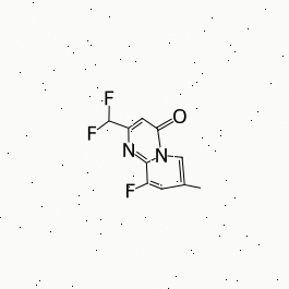 Cc1cc(F)c2nc(C(F)F)cc(=O)n2c1